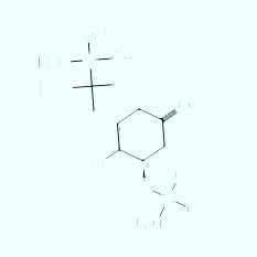 CC(C)(C[C@@H]1CC(=O)C[C@@H](O[Si](C)(C)C(C)(C)C)C1O)[Si](C)(C)O